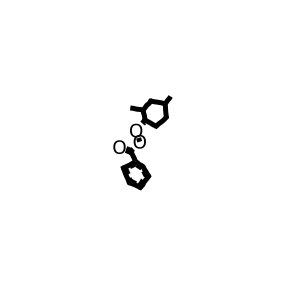 CC1CC[C](OOC(=O)c2ccccc2)C(C)C1